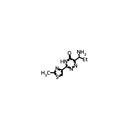 CCC(N)c1nnc(-c2csc(C)n2)[nH]c1=O